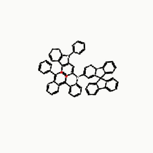 C1=Cc2c(n(-c3ccccc3)c3cc(N(C4=CCC5C(=C4)C4(c6ccccc6-c6ccccc64)c4ccccc45)c4ccccc4C4=c5ccccc5=C(c5ccccc5)CC4)ccc23)CC1